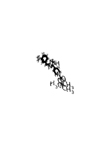 CC(C)(C)OC(=O)N1CCC(c2nc(Cc3cccc(F)c3)n[nH]2)CC1